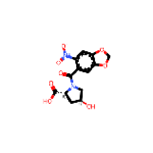 O=C(O)[C@H]1C[C@H](O)CN1C(=O)c1cc2c(cc1[N+](=O)[O-])OCO2